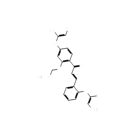 CC=C(CC)Oc1ccc(C(=O)C=Cc2ccccc2OC(=CC)CC)c(OCC(=O)O)c1